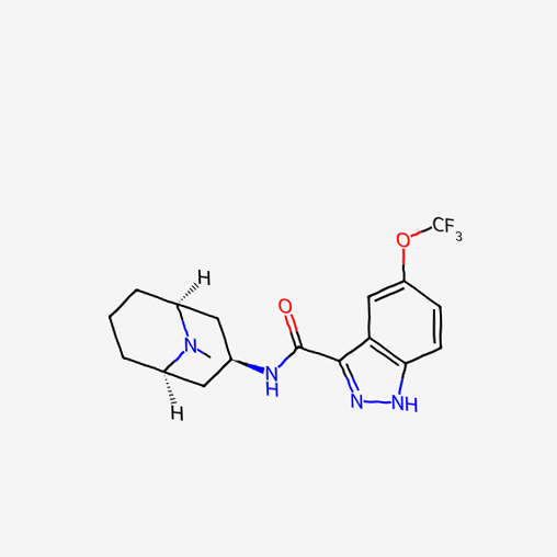 CN1[C@@H]2CCC[C@H]1C[C@@H](NC(=O)c1n[nH]c3ccc(OC(F)(F)F)cc13)C2